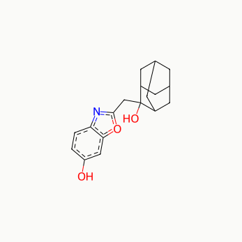 Oc1ccc2nc(CC3(O)C4CC5CC(C4)CC3C5)oc2c1